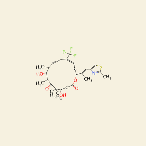 C/C(=C\c1csc(C)n1)C1C/C=C(/C(F)(F)F)C/C=C/C(C)C(O)C(C)C(=O)C(C)(C)[C@@H](O)CC(=O)O1